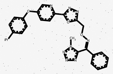 CC(C)c1ccc(Oc2ccc(-c3nnc(CO/N=C(/c4ccccc4)c4nnnn4C)o3)nc2)cc1